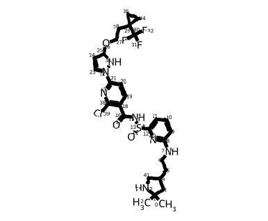 CC1(C)CC(CCNc2cccc([S+]([O-])NC(=O)c3ccc(N4C=CC(OCCC5(C(F)(F)F)CC5)N4)nc3Cl)n2)CN1